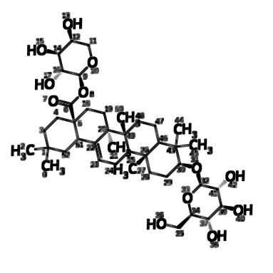 CC1(C)CC[C@]2(C(=O)O[C@@H]3OC[C@H](O)[C@H](O)[C@H]3O)CC[C@]3(C)C(=CCC4[C@@]5(C)CC[C@H](O[C@@H]6O[C@H](CO)[C@@H](O)[C@H](O)[C@H]6O)C(C)(C)C5CC[C@]43C)C2C1